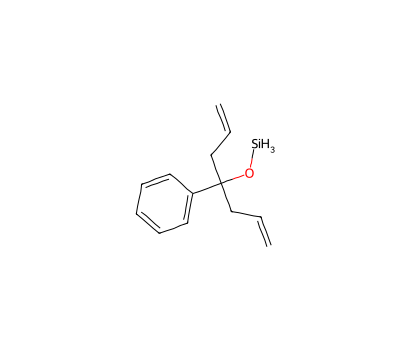 C=CCC(CC=C)(O[SiH3])c1ccccc1